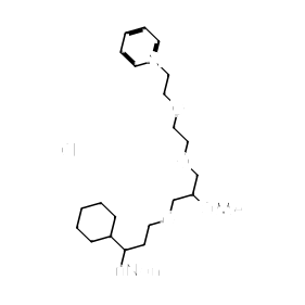 CCCCCCCCCC(CCOCC(COCCOCC[n+]1ccccc1)OC)C1CCCCC1.[Cl-]